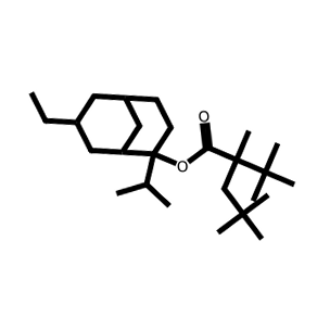 CCC1CC2CCC(OC(=O)C(C)(CC(C)(C)C)C(C)(C)C)(C(C)C)C(C1)C2